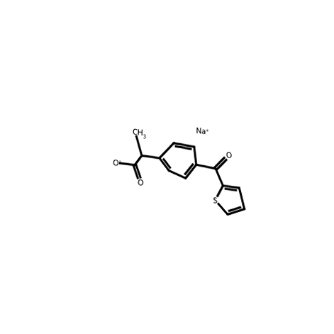 CC(C(=O)[O-])c1ccc(C(=O)c2cccs2)cc1.[Na+]